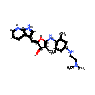 Cc1cc(NCCN(C)C)ccc1NC1=C(C(=O)O)C(=O)C(=Cc2c[nH]c3ncccc23)O1